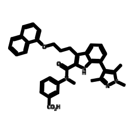 Cc1nn(C)c(C)c1-c1cccc2c(CCCOc3cccc4ccccc34)c(C(=O)N(C)c3cccc(C(=O)O)c3)[nH]c12